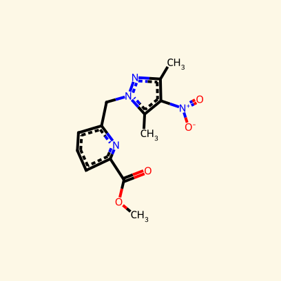 COC(=O)c1cccc(Cn2nc(C)c([N+](=O)[O-])c2C)n1